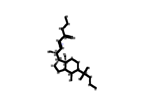 CCCC(C)(C)C1CC[C@@]2(C)C(CC[C@@H]2[C@H](C)/C=C/C(=O)OCC)C1C